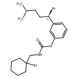 CCC1(CNC(=O)Oc2cccc([C@@H](CCN(C)C)C(C)C)c2)[CH]CCCC1